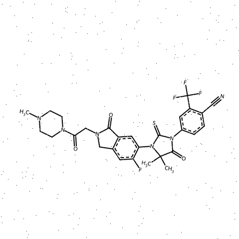 CN1CCN(C(=O)CN2Cc3cc(F)c(N4C(=S)N(c5ccc(C#N)c(C(F)(F)F)c5)C(=O)C4(C)C)cc3C2=O)CC1